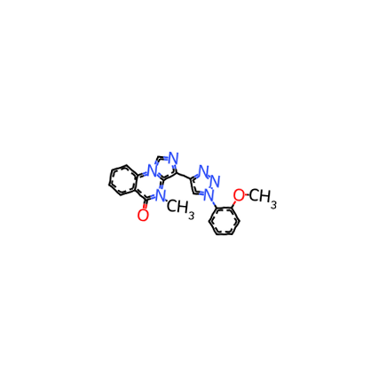 COc1ccccc1-n1cc(-c2ncn3c4ccccc4c(=O)n(C)c23)nn1